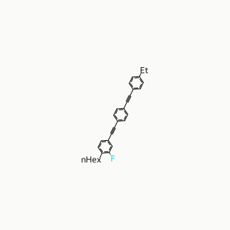 CCCCCCc1ccc(C#Cc2ccc(C#Cc3ccc(CC)cc3)cc2)cc1F